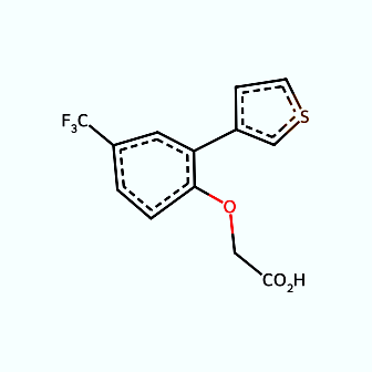 O=C(O)COc1ccc(C(F)(F)F)cc1-c1ccsc1